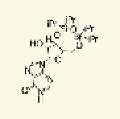 CC(C)[Si]1(C(C)C)OCC2OC(n3cnc4c(=O)[nH]cnc43)[C@H](O)[C@@H]2O[Si](C(C)C)(C(C)C)O1